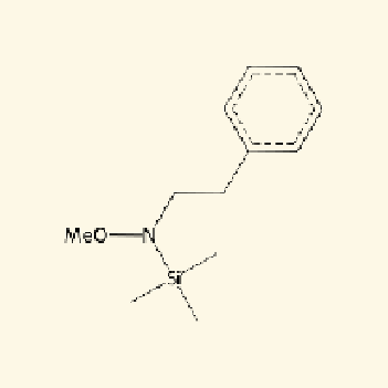 CON(CCc1ccccc1)[Si](C)(C)C